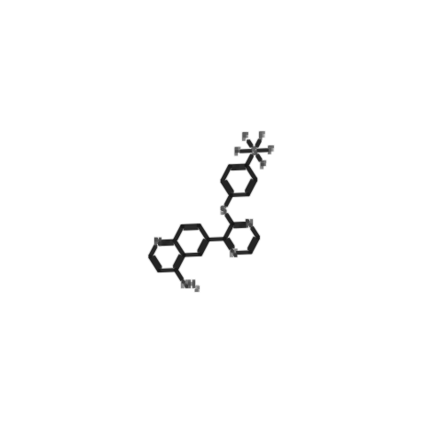 Nc1ccnc2ccc(-c3nccnc3Sc3ccc(S(F)(F)(F)(F)F)cc3)cc12